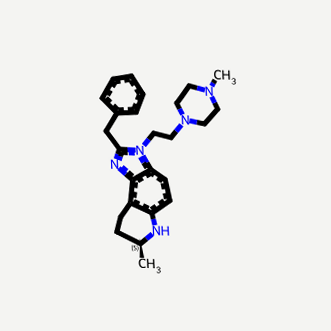 C[C@H]1CCc2c(ccc3c2nc(Cc2ccccc2)n3CCN2CCN(C)CC2)N1